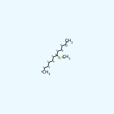 CCCCCCC(CCCCC)SC